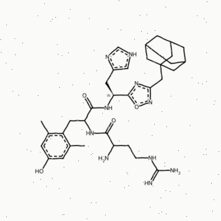 Cc1cc(O)cc(C)c1CC(NC(=O)C(N)CCNC(=N)N)C(=O)N[C@@H](Cc1c[nH]cn1)c1nc(CC23CC4CC(CC(C4)C2)C3)no1